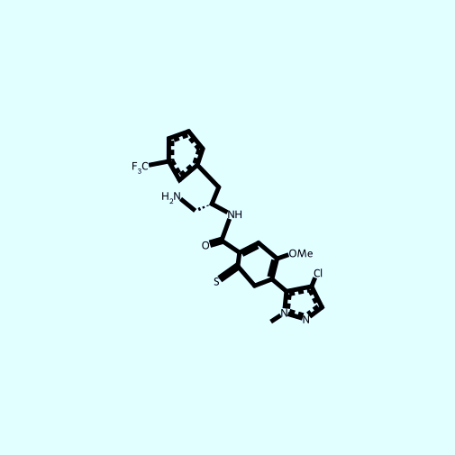 COC1=C(c2c(Cl)cnn2C)CC(=S)C(C(=O)N[C@H](CN)Cc2cccc(C(F)(F)F)c2)=C1